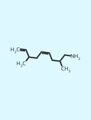 C=CC(C)C/C=C\CC(C)CN